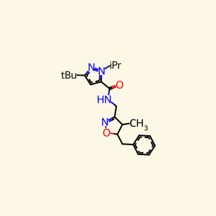 CC1C(CNC(=O)c2cc(C(C)(C)C)nn2C(C)C)=NOC1Cc1ccccc1